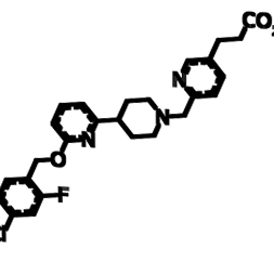 O=C(O)CCc1ccc(CN2CCC(c3cccc(OCc4ccc(Cl)cc4F)n3)CC2)nc1